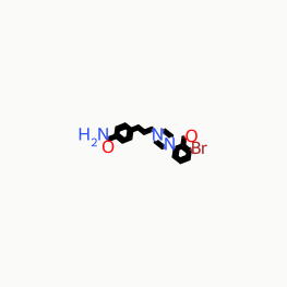 NC(=O)c1ccc(CCCN2CCN(c3cccc(Br)c3C=O)CC2)cc1